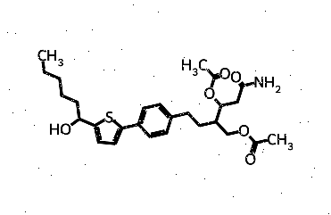 CCCCCC(O)c1ccc(-c2ccc(CCC(COC(C)=O)C(CC(N)=O)OC(C)=O)cc2)s1